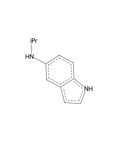 CC(C)Nc1ccc2[nH]ccc2c1